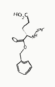 CC(C)N[C@@H](CCC(=O)O)C(=O)OCc1ccccc1